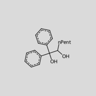 CCCCCC(O)C(O)(c1ccccc1)c1ccccc1